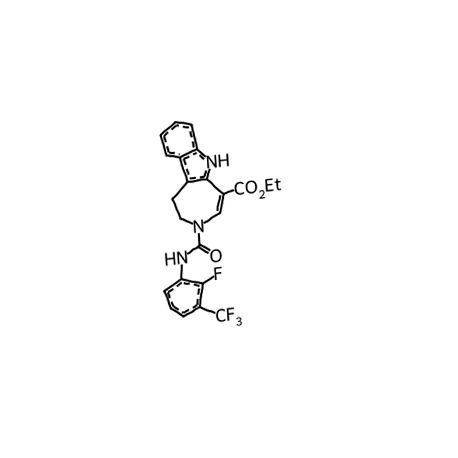 CCOC(=O)C1=CN(C(=O)Nc2cccc(C(F)(F)F)c2F)CCc2c1[nH]c1ccccc21